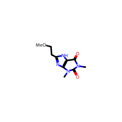 COCCc1nc2c([nH]1)c(=O)n(C)c(=O)n2C